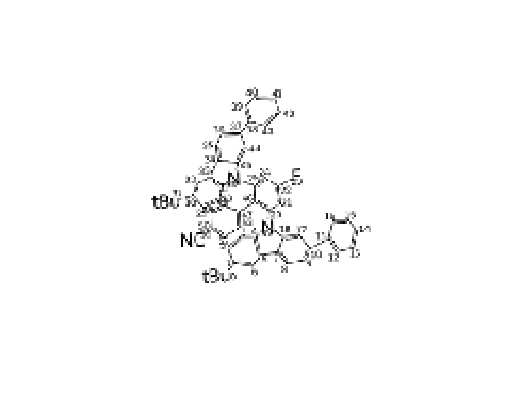 CC(C)(C)c1ccc2c(c1)c1ccc(-c3ccccc3)cc1n2-c1cc(F)cc(-n2c3ccc(C(C)(C)C)cc3c3ccc(-c4ccccc4)cc32)c1-c1ccc(C#N)cc1